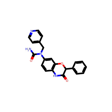 NC(=O)N(Cc1ccncc1)c1ccc2c(c1)OC(c1ccccc1)C(=O)N2